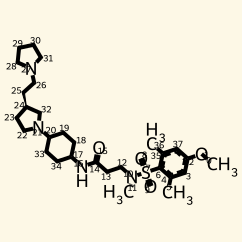 COc1cc(C)c(S(=O)(=O)N(C)CCC(=O)NC2CCC(N3CC[C@@H](CCN4CCCC4)C3)CC2)c(C)c1